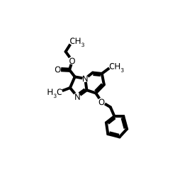 CCOC(=O)C1C(C)N=C2C(OCc3ccccc3)=CC(C)=CN21